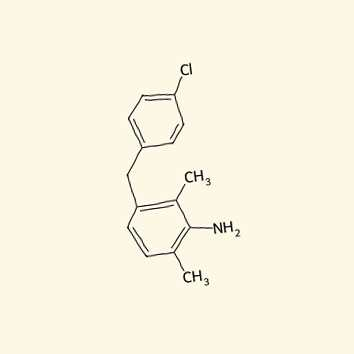 Cc1ccc(Cc2ccc(Cl)cc2)c(C)c1N